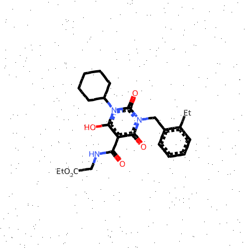 CCOC(=O)CNC(=O)c1c(O)n(C2CCCCC2)c(=O)n(Cc2ccccc2CC)c1=O